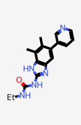 CCNC(=O)Nc1nc2cc(-c3cccnc3)c(C)c(C)c2[nH]1